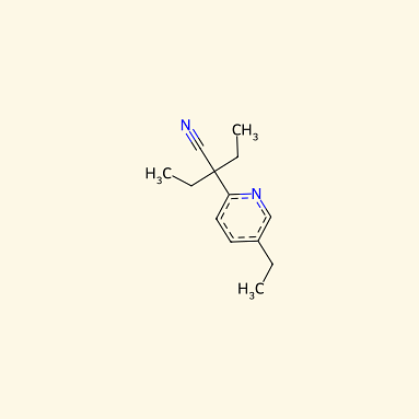 CCc1ccc(C(C#N)(CC)CC)nc1